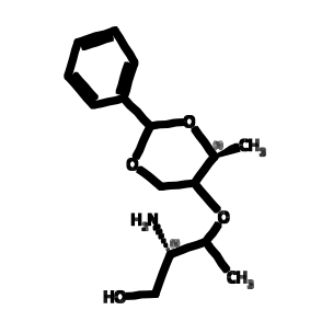 CC(OC1COC(c2ccccc2)O[C@H]1C)[C@@H](N)CO